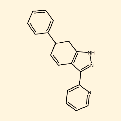 C1=CC(c2ccccc2)Cc2[nH]nc(-c3ccccn3)c21